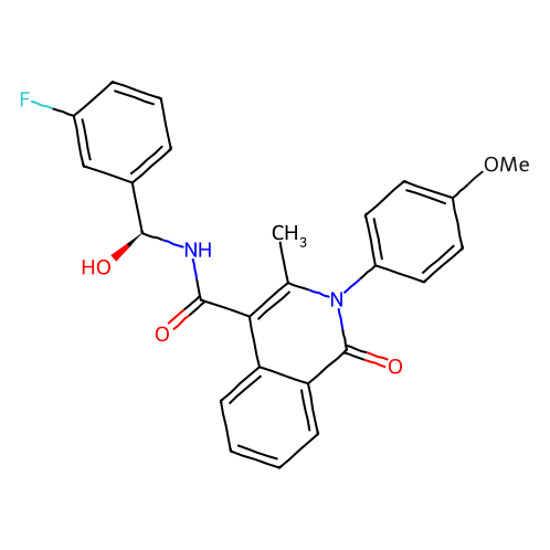 COc1ccc(-n2c(C)c(C(=O)N[C@@H](O)c3cccc(F)c3)c3ccccc3c2=O)cc1